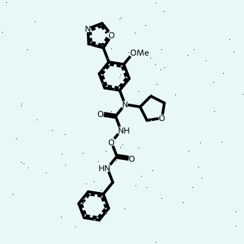 COc1cc(N(C(=O)NOC(=O)NCc2ccccc2)C2CCOC2)ccc1-c1cnco1